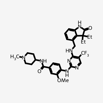 CCC1(CC)C(=O)Nc2cccc(CNc3nc(Nc4ccc(C(=O)NC5CCN(C)CC5)cc4OC)ncc3C(F)(F)F)c21